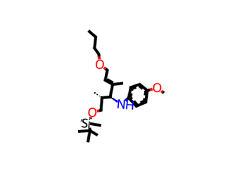 CCCCOC/C=C(\C)[C@@H](Nc1ccc(OC)cc1)[C@@H](C)CO[Si](C)(C)C(C)(C)C